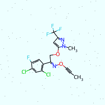 CC#CO/N=C(\COc1cc(C(F)(F)F)nn1C)c1cc(F)c(Cl)cc1Cl